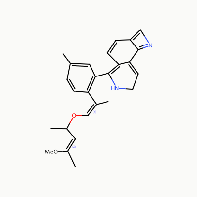 CO/C(C)=C\C(C)O/C=C(/C)c1ccc(C)cc1C1=c2ccc3c(c2=CCN1)=NC=3